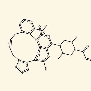 C=CC(=O)N1CC(C)N(c2nc(=O)n3c4nc(c(F)cc24)-c2cnnn2C/C=C\Cc2ccnc(C(C)C)c2-3)CC1C